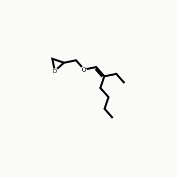 CCCCC(=COCC1CO1)CC